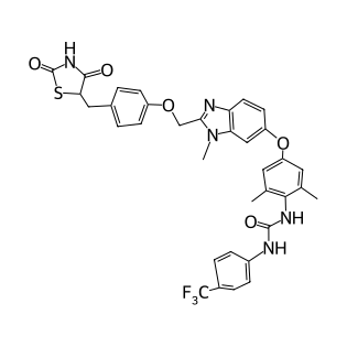 Cc1cc(Oc2ccc3nc(COc4ccc(CC5SC(=O)NC5=O)cc4)n(C)c3c2)cc(C)c1NC(=O)Nc1ccc(C(F)(F)F)cc1